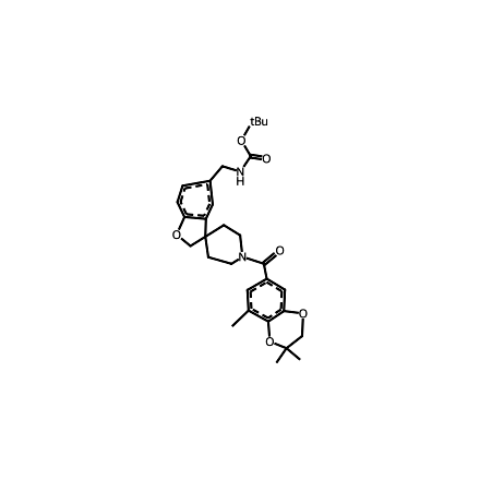 Cc1cc(C(=O)N2CCC3(CC2)COc2ccc(CNC(=O)OC(C)(C)C)cc23)cc2c1OC(C)(C)CO2